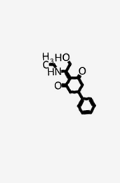 CCNC(CO)=C1C(=O)CC(c2ccccc2)CC1=O